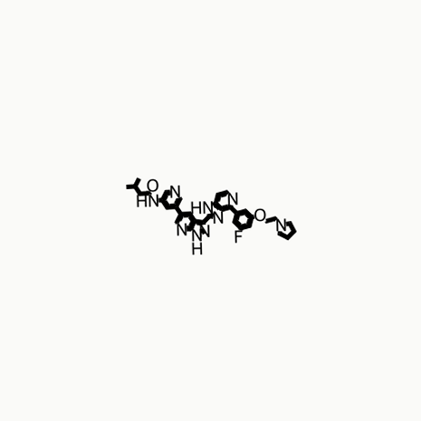 CC(C)CC(=O)Nc1cncc(-c2cnc3[nH]nc(-c4nc5c(-c6cc(F)cc(OCCN7CCCC7)c6)nccc5[nH]4)c3c2)c1